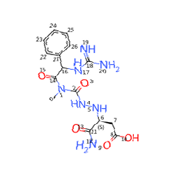 CN(C(=O)NN[C@@H](CC(=O)O)C(N)=O)C(=O)C(NC(=N)N)c1ccccc1